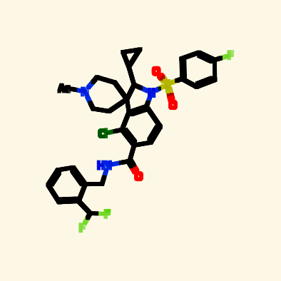 CC(=O)N1CCC2(CC1)c1c(ccc(C(=O)NCc3ccccc3C(F)F)c1Cl)N(S(=O)(=O)c1ccc(F)cc1)C2C1CC1